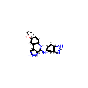 COc1ccc2nc(Nc3ccc4[nH]nnc4c3)c3n[nH]cc3c2c1